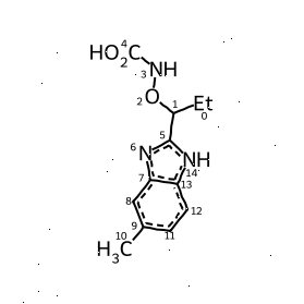 CCC(ONC(=O)O)c1nc2cc(C)ccc2[nH]1